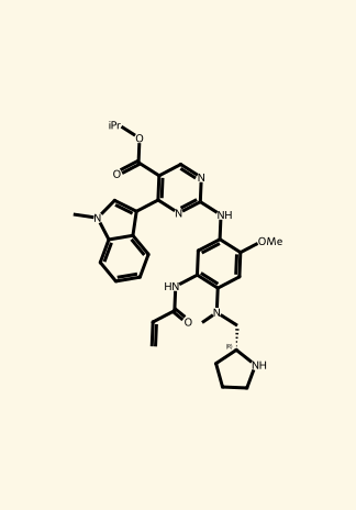 C=CC(=O)Nc1cc(Nc2ncc(C(=O)OC(C)C)c(-c3cn(C)c4ccccc34)n2)c(OC)cc1N(C)C[C@H]1CCCN1